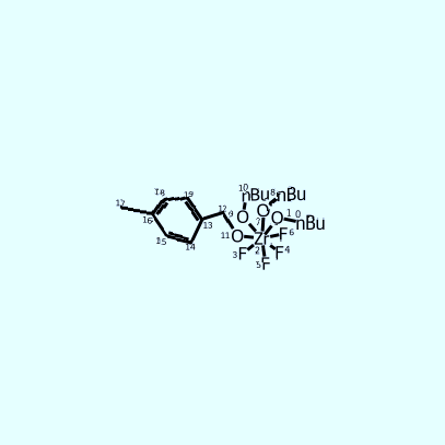 CCCC[O][Zr]([F])([F])([F])([F])([O]CCCC)([O]CCCC)[O]Cc1ccc(C)cc1